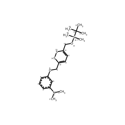 CN(C)c1cccc(OCC2=CC=C(CO[Si](C)(C)C(C)(C)C)SS2)c1